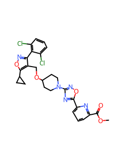 COC(=O)c1cccc(-c2nc(N3CCC(OCc4c(-c5c(Cl)cccc5Cl)noc4C4CC4)CC3)no2)n1